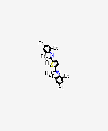 CCc1cc(CC)c(/N=C(\C)c2ccc(/C(C)=N/c3c(CC)cc(CC)cc3CC)s2)c(CC)c1